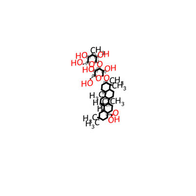 C[C@@H]1[C@@H](O)[C@H](O[C@H]2[C@H](O)[C@@H](CO)OC(O[C@H]3CC[C@@]4(C)C(CC[C@]5(C)C4CC=C4[C@@H]6CC(C)(C)CC[C@]6(C(=O)O)CC[C@]45C)C3(C)C)[C@@H]2O)O[C@H](CO)[C@H]1O